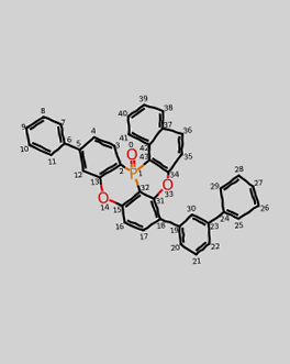 O=P12c3ccc(-c4ccccc4)cc3Oc3ccc(-c4cccc(-c5ccccc5)c4)c(c31)Oc1ccc3ccccc3c12